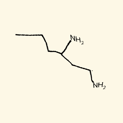 CCCC(N)C[CH]N